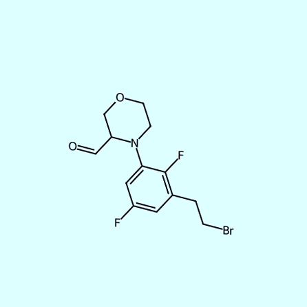 O=CC1COCCN1c1cc(F)cc(CCBr)c1F